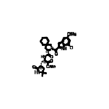 COC(=O)[C@H](C[C@@H]1CC(C)(C)NC1=O)NC(=O)[C@@H]1CC2(CCCCC2)CN1C(=O)c1cc2cc(OC)cc(Cl)c2[nH]1